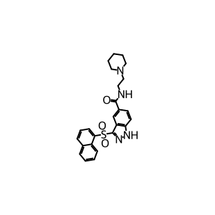 O=C(NCCN1CCCCC1)c1ccc2[nH]nc(S(=O)(=O)c3cccc4ccccc34)c2c1